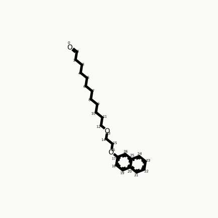 O=CCCCCCCCCCCCOCCOc1ccc2ccccc2c1